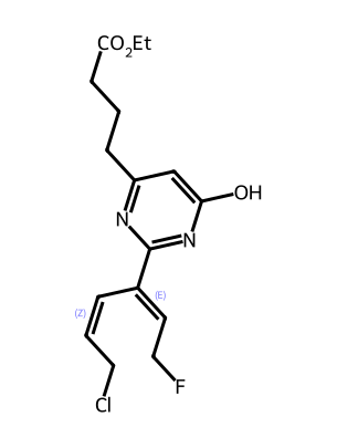 CCOC(=O)CCCc1cc(O)nc(C(/C=C\CCl)=C/CF)n1